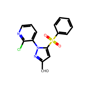 O=Cc1cc(S(=O)(=O)c2ccccc2)n(-c2cccnc2Cl)n1